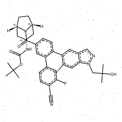 CC(C)(O)Cn1ncc2cc(-c3ccc(C(=O)N4[C@@H]5CC[C@H]4C[C@@H](NC(=O)OC(C)(C)C)C5)cc3-c3ccc(C#N)c(F)c3)c(F)cc21